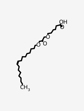 CCCCCCCC/C=C\CCCCCCCCOCC(=O)COCCCCCC(=O)O